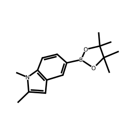 Cc1cc2cc(B3OC(C)(C)C(C)(C)O3)ccc2n1C